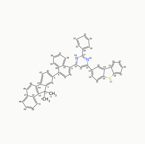 CC1(C)c2cc(-c3ccc(-c4cc(-c5ccc6sc7ccccc7c6c5)nc(-c5ccccc5)n4)c4ccccc34)ccc2-c2ccc3ccccc3c21